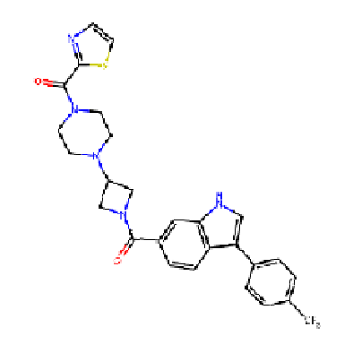 O=C(c1ccc2c(-c3ccc(C(F)(F)F)cc3)c[nH]c2c1)N1CC(N2CCN(C(=O)c3nccs3)CC2)C1